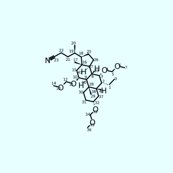 CC[C@H]1[C@@H](OCOC)[C@@H]2[C@H]([C@@H](OCOC)C[C@]3(C)[C@@H]([C@H](C)CCC#N)CC[C@@H]23)[C@@]2(C)CC[C@@H](OCOC)C[C@@H]12